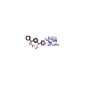 CNC(=N)NC(=Nc1cc(C(C)c2cccc(C(=O)c3ccccc3)c2)no1)NC